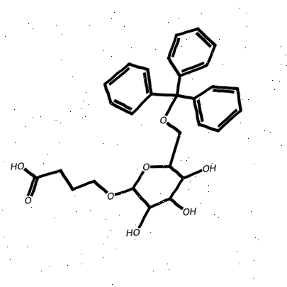 O=C(O)CCCOC1OC(COC(c2ccccc2)(c2ccccc2)c2ccccc2)C(O)C(O)C1O